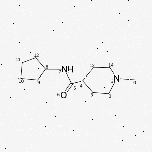 CN1CCC(C(=O)NC2C[CH]CC2)CC1